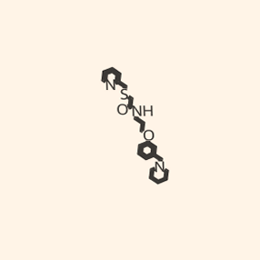 O=C(CSCc1ccccn1)NCCCOc1cccc(CN2CCCCC2)c1